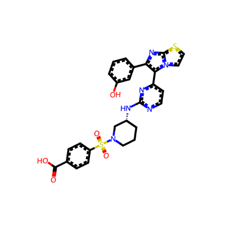 O=C(O)c1ccc(S(=O)(=O)N2CCC[C@@H](Nc3nccc(-c4c(-c5cccc(O)c5)nc5sccn45)n3)C2)cc1